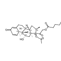 CCCCC(=O)OCC(=O)[C@@]1(OC(C)=O)[C@H](C)C[C@H]2[C@@H]3CCC4=CC(=O)C=C[C@]4(C)[C@@]3(F)[C@@H](O)C[C@@]21C